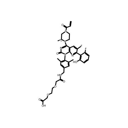 C=CC(=O)N1CCN(c2nc(=O)n(-c3c(C)cc(CNC(=O)COCCOCC(=O)O)cc3C)c3nc(-c4c(O)cccc4F)c(F)cc23)[C@@H](C)C1